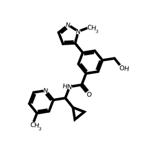 Cc1ccnc(C(NC(=O)c2cc(CO)cc(-c3ccnn3C)c2)C2CC2)c1